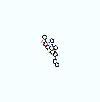 c1cc(-c2ccc(-c3ccc4ccccc4c3)cc2)cc(N(c2ccccc2-c2cccc3oc4ccccc4c23)c2cccc3sc4ccccc4c23)c1